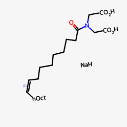 CCCCCCCC/C=C\CCCCCCCC(=O)N(CC(=O)O)CC(=O)O.[NaH]